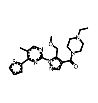 CCN1CCN(C(=O)c2cnn(-c3ncc(C)c(-c4cccs4)n3)c2COC)CC1